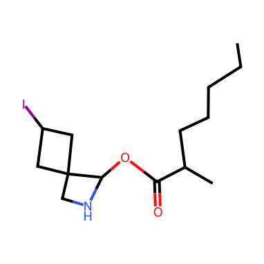 CCCCCC(C)C(=O)OC1NCC12CC(I)C2